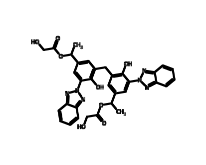 CC(OC(=O)CO)c1cc(Cc2cc(C(C)OC(=O)CO)cc(-n3nc4ccccc4n3)c2O)c(O)c(-n2nc3ccccc3n2)c1